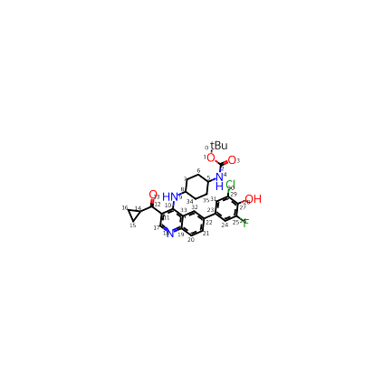 CC(C)(C)OC(=O)NC1CCC(Nc2c(C(=O)C3CC3)cnc3ccc(-c4cc(F)c(O)c(Cl)c4)cc23)CC1